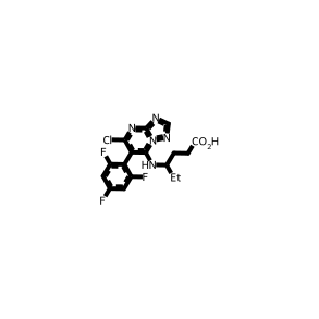 CCC(CCC(=O)O)Nc1c(-c2c(F)cc(F)cc2F)c(Cl)nc2ncnn12